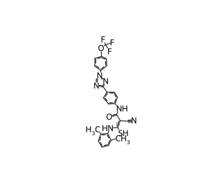 Cc1cccc(C)c1N/C(S)=C(/C#N)C(=O)Nc1ccc(-c2ncn(-c3ccc(OC(F)(F)F)cc3)n2)cc1